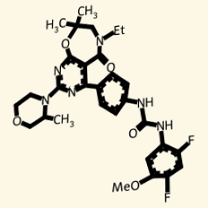 CCN1CC(C)(C)Oc2nc(N3CCOCC3C)nc(-c3ccc(NC(=O)Nc4cc(OC)c(F)cc4F)cc3)c2C1=O